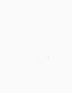 CCCc1ccc(C(=O)Nc2[nH]c(Cc3ccc(OC(=O)O)o3)nc2C(N)=O)cc1